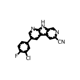 N#Cc1cc2c(cn1)[nH]c1ncc(-c3ccc(F)c(Cl)c3)cc12